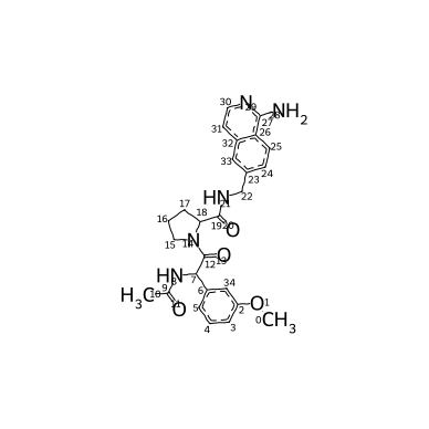 COc1cccc(C(NC(C)=O)C(=O)N2CCCC2C(=O)NCc2ccc3c(N)nccc3c2)c1